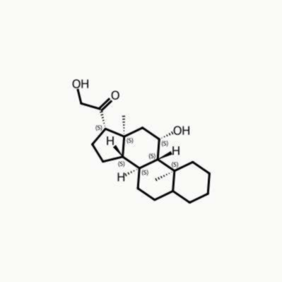 C[C@]12C[C@H](O)[C@H]3[C@@H](CCC4CCCC[C@@]43C)[C@@H]1CC[C@@H]2C(=O)CO